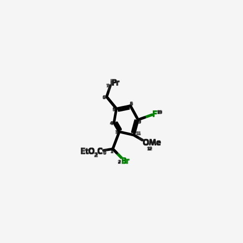 CCOC(=O)C(Br)c1cc(CC(C)C)cc(F)c1OC